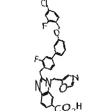 O=C(O)c1ccc2nc(Cc3ccc(-c4cccc(OCc5ccc(Cl)cc5F)c4)cc3F)n(Cc3cnco3)c2c1